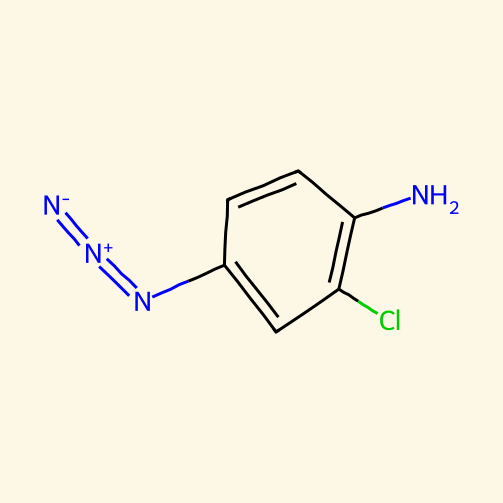 [N-]=[N+]=Nc1ccc(N)c(Cl)c1